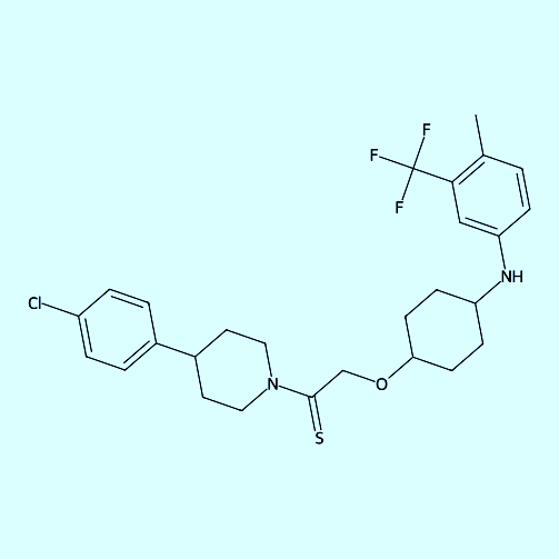 Cc1ccc(NC2CCC(OCC(=S)N3CCC(c4ccc(Cl)cc4)CC3)CC2)cc1C(F)(F)F